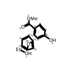 CCO.COC(=O)c1ccc(O)cc1.c1cc2cc(c1)O2